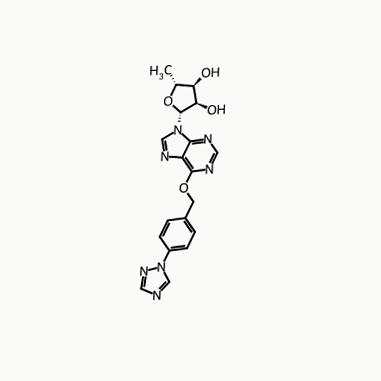 C[C@H]1O[C@@H](n2cnc3c(OCc4ccc(-n5cncn5)cc4)ncnc32)[C@H](O)[C@@H]1O